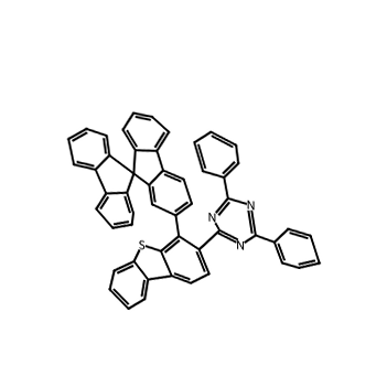 c1ccc(-c2nc(-c3ccccc3)nc(-c3ccc4c(sc5ccccc54)c3-c3ccc4c(c3)C3(c5ccccc5-c5ccccc53)c3ccccc3-4)n2)cc1